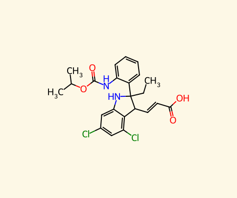 CCC1(c2ccccc2NC(=O)OC(C)C)Nc2cc(Cl)cc(Cl)c2C1C=CC(=O)O